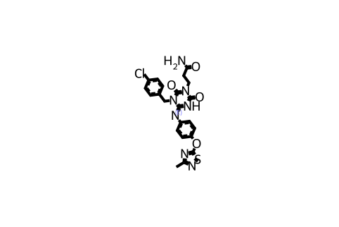 Cc1nsc(Oc2ccc(/N=c3\[nH]c(=O)n(CCC(N)=O)c(=O)n3Cc3ccc(Cl)cc3)cc2)n1